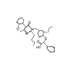 CCCCc1nc(C)c(-c2ccccc2Cl)c(=O)n1Cc1ccc(OC(C(=O)O)c2ccccc2)c(CCC)c1